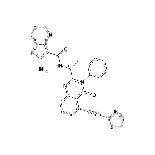 C[C@@H](NC(=O)c1c(N)nn2cccnc12)c1nc2cccc(C#Cc3nccs3)c2c(=O)n1-c1ccccc1